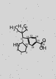 C1CCNCC1.CCC(CC)Cc1ccc(C(=O)O)cc1